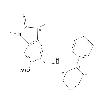 COc1cc2c(cc1CN[C@H]1CCCN[C@H]1c1ccccc1)[C@@H](C)C(=O)N2C